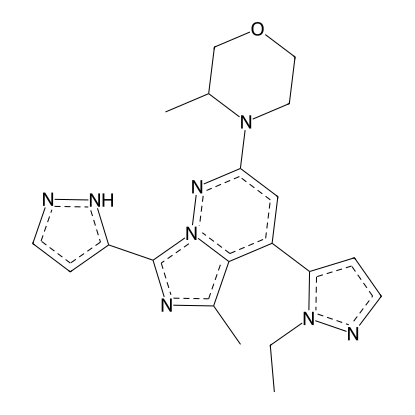 CCn1nccc1-c1cc(N2CCOCC2C)nn2c(-c3ccn[nH]3)nc(C)c12